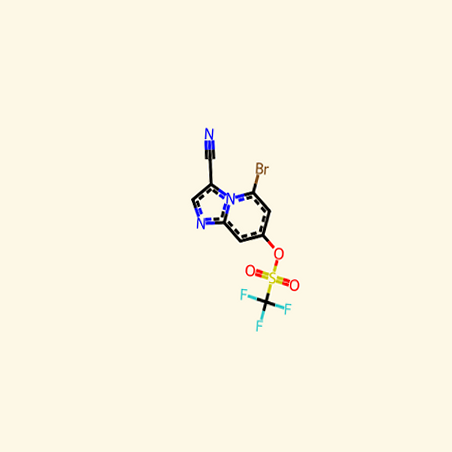 N#Cc1cnc2cc(OS(=O)(=O)C(F)(F)F)cc(Br)n12